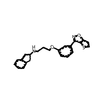 c1cc(OCCCNC2Cc3ccccc3C2)cc(-c2noc3ccsc23)c1